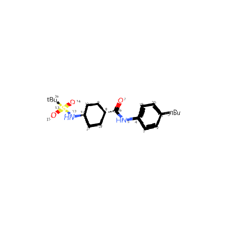 CCCCc1ccc(NC(=O)[C@H]2CC[C@H](NS(=O)(=O)C(C)(C)C)CC2)cc1